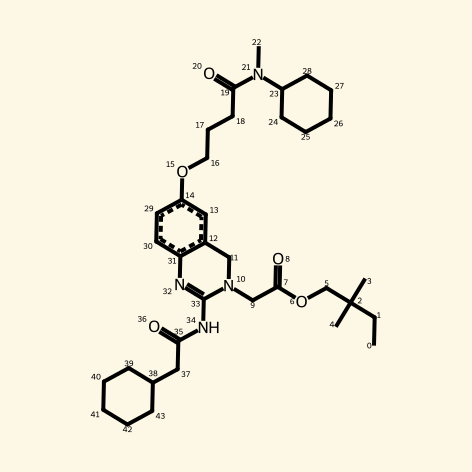 CCC(C)(C)COC(=O)CN1Cc2cc(OCCCC(=O)N(C)C3CCCCC3)ccc2N=C1NC(=O)CC1CCCCC1